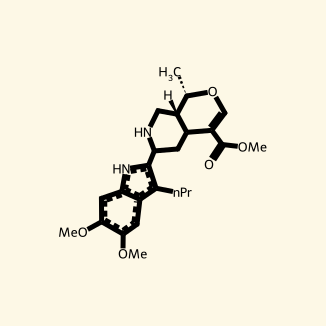 CCCc1c(C2CC3C(C(=O)OC)=CO[C@@H](C)[C@H]3CN2)[nH]c2cc(OC)c(OC)cc12